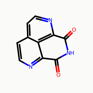 O=C1NC(=O)c2nccc3ccnc1c23